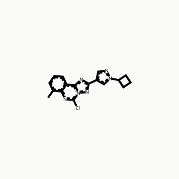 Cc1cccc2c1nc(Cl)n1nc(-c3cnn(C4CCC4)c3)nc21